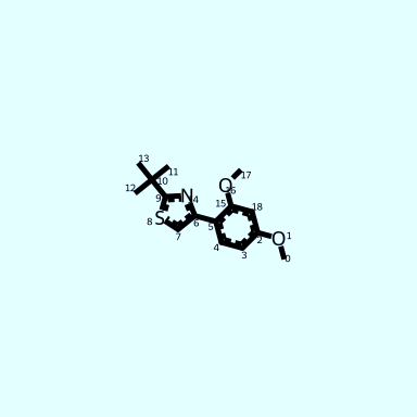 COc1ccc(-c2csc(C(C)(C)C)n2)c(OC)c1